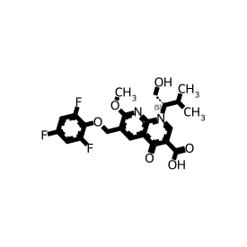 COc1nc2c(cc1COc1c(F)cc(F)cc1F)c(=O)c(C(=O)O)cn2[C@H](CO)C(C)C